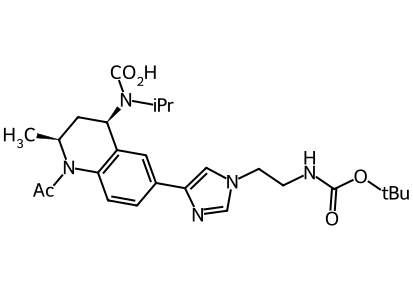 CC(=O)N1c2ccc(-c3cn(CCNC(=O)OC(C)(C)C)cn3)cc2[C@H](N(C(=O)O)C(C)C)C[C@@H]1C